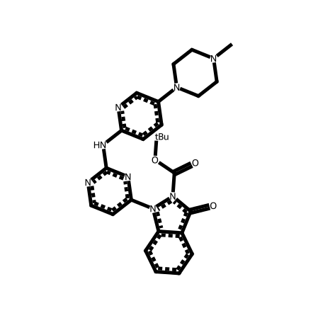 CN1CCN(c2ccc(Nc3nccc(-n4c5ccccc5c(=O)n4C(=O)OC(C)(C)C)n3)nc2)CC1